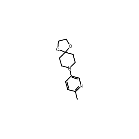 Cc1ccc(N2CCC3(CC2)OCCO3)cn1